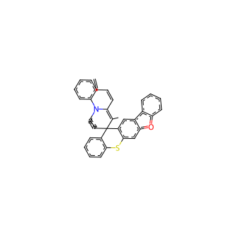 C=C/C=C\C1=C(C)C2(c3ccccc3Sc3cc4oc5ccccc5c4cc32)c2ccccc2N1c1ccccc1